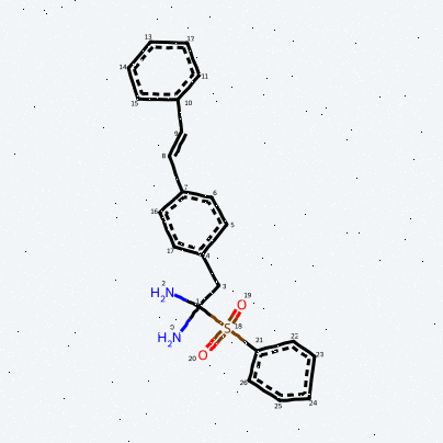 NC(N)(Cc1ccc(C=Cc2ccccc2)cc1)S(=O)(=O)c1ccccc1